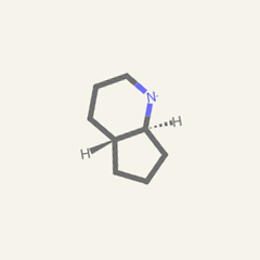 C1C[N][C@H]2CCC[C@@H]2C1